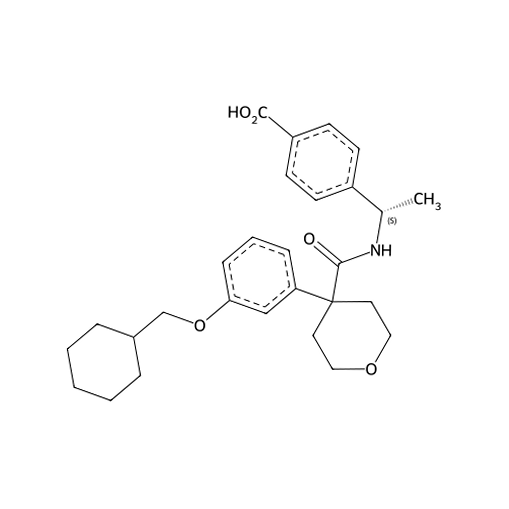 C[C@H](NC(=O)C1(c2cccc(OCC3CCCCC3)c2)CCOCC1)c1ccc(C(=O)O)cc1